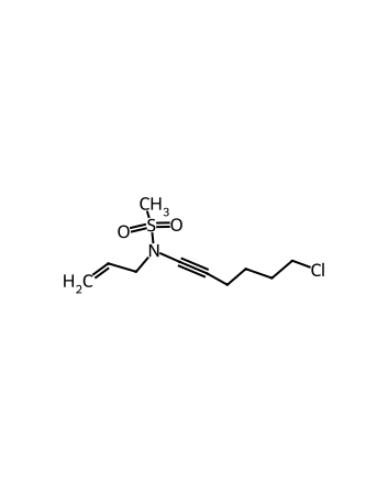 C=CCN(C#CCCCCCl)S(C)(=O)=O